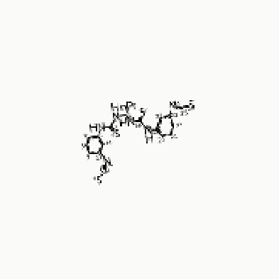 CCCC(NC(=S)Nc1cccc(N=C=S)c1)NC(=S)Nc1cccc(N=C=S)c1